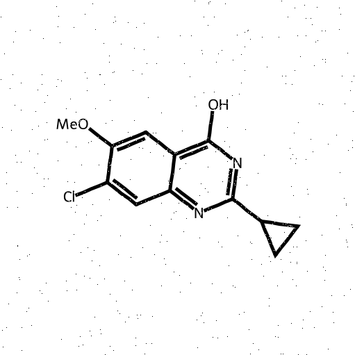 COc1cc2c(O)nc(C3CC3)nc2cc1Cl